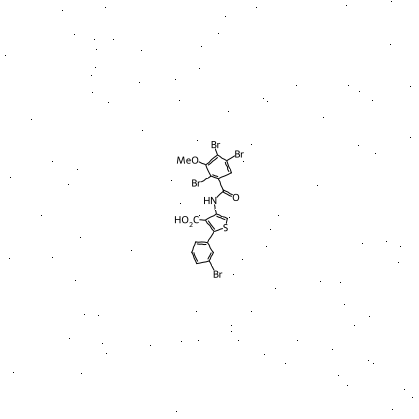 COc1c(Br)c(Br)cc(C(=O)Nc2csc(-c3cccc(Br)c3)c2C(=O)O)c1Br